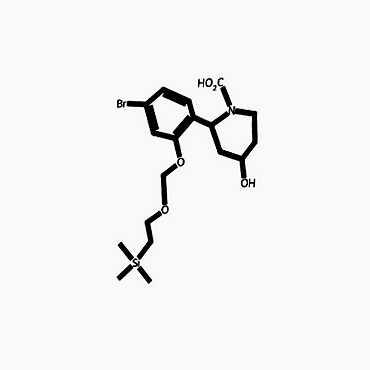 C[Si](C)(C)CCOCOc1cc(Br)ccc1C1CC(O)CCN1C(=O)O